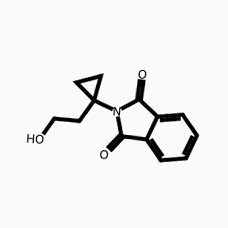 O=C1c2ccccc2C(=O)N1C1(CCO)CC1